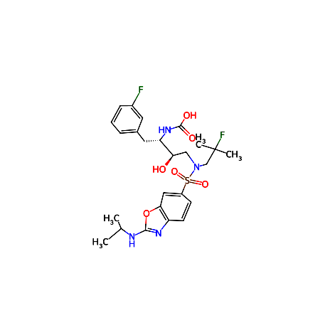 CC(C)Nc1nc2ccc(S(=O)(=O)N(C[C@@H](O)[C@H](Cc3cccc(F)c3)NC(=O)O)CC(C)(C)F)cc2o1